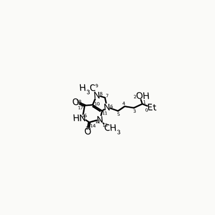 CCC(O)CCCN1CN(C)c2c1n(C)c(=O)[nH]c2=O